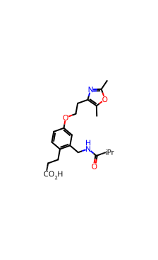 Cc1nc(CCOc2ccc(CCC(=O)O)c(CNC(=O)C(C)C)c2)c(C)o1